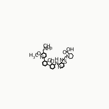 CNCc1ccc(-c2cccc(-c3cccc(Nc4nccc5sc(CN6CCCCC6C(=O)O)nc45)c3Cl)c2Cl)nc1OC